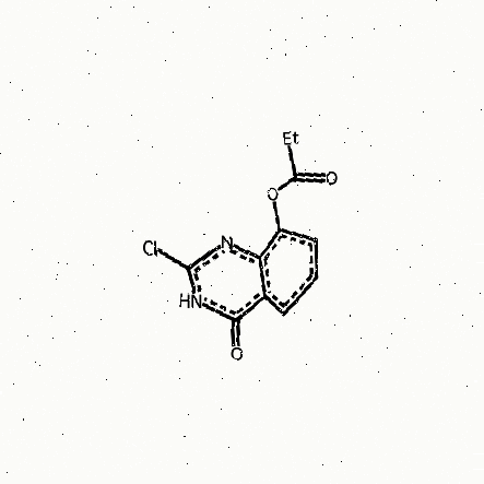 CCC(=O)Oc1cccc2c(=O)[nH]c(Cl)nc12